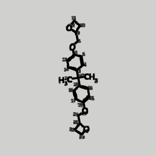 CC(C)(c1ccc(OCC2CCO2)cc1)c1ccc(OCC2CCO2)cc1